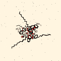 CCCCCCCCCCCC(c1ccccc1S(=O)(=O)[O][Ti]([O]S(=O)(=O)c1ccccc1C(CCCCCCCCCCC)S(=O)(=O)c1ccc(N)cc1)([O]S(=O)(=O)c1ccccc1C(CCCCCCCCCCC)S(=O)(=O)c1ccc(N)cc1)[O]S(=O)(=O)c1ccccc1C(CCCCCCCCCCC)S(=O)(=O)c1ccc(N)cc1)S(=O)(=O)c1ccc(N)cc1